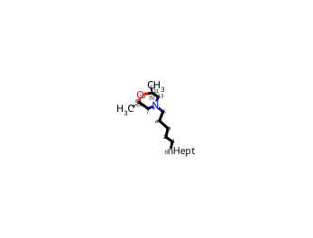 CCCCCCCCCCCCN1C[C@H](C)O[C@@H](C)C1